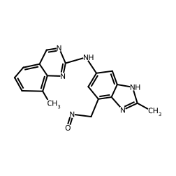 Cc1nc2c(CN=O)cc(Nc3ncc4cccc(C)c4n3)cc2[nH]1